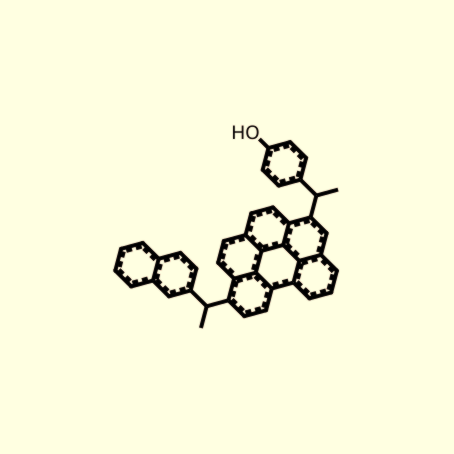 CC(c1ccc2ccccc2c1)c1ccc2c3cccc4cc(C(C)c5ccc(O)cc5)c5ccc6ccc1c2c6c5c43